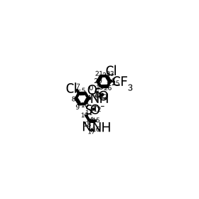 O=S(=O)(Nc1cc(Cl)ccc1[S+]([O-])Cc1c[nH]cn1)c1ccc(Cl)c(C(F)(F)F)c1